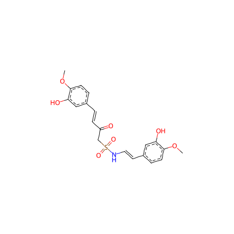 COc1ccc(/C=C/NS(=O)(=O)CC(=O)/C=C/c2ccc(OC)c(O)c2)cc1O